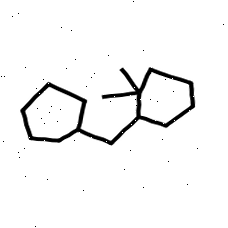 CC1(C)CCCCC1CC1CCCCC1